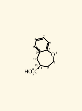 O=C(O)[C@@H]1CCOc2ccccc2C1